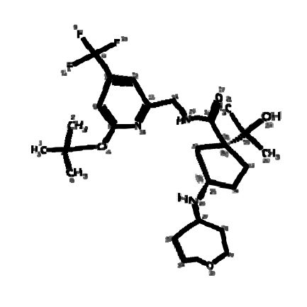 CC(C)(C)Oc1cc(C(F)(F)F)cc(CNC(=O)[C@@]2(C(C)(C)O)CC[C@@H](NC3CCOCC3)C2)n1